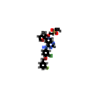 CCC(OCCS(C)(=O)=O)C1(c2cc3c(Nc4ccc(OCc5cccc(F)c5)c(Cl)c4)ncnc3cn2)CC=CO1